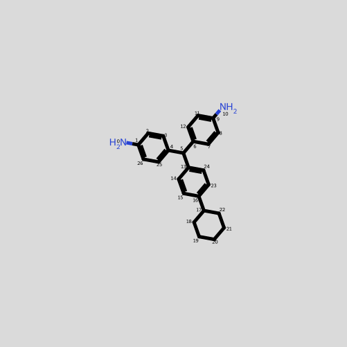 Nc1ccc(C(c2ccc(N)cc2)c2ccc(C3CCCCC3)cc2)cc1